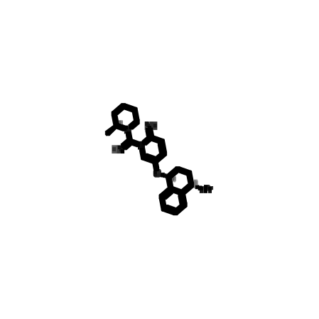 CCC[C@H]1CC[C@@H](Oc2ccc(=N)n(C(=N)N3CCCC[C@@H]3C)c2)c2ccccc21